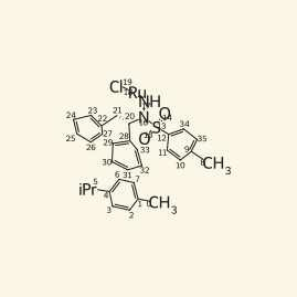 Cc1ccc(C(C)C)cc1.Cc1ccc(S(=O)(=O)N([NH][Ru][Cl])[C@@H](Cc2ccccc2)c2ccccc2)cc1